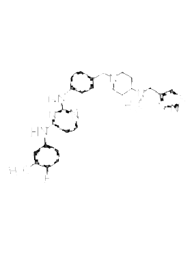 Cc1cc(Nc2ccnc(Nc3ccc(CN4CCC(N(C)Cc5csnn5)CC4)cc3)n2)ccc1F